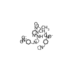 CC(C)C1=COCN1c1ccnc(NC2CCN(Cc3ccc([N+](=O)[O-])cc3)C2)n1.O=[N+]([O-])c1ccc(CN2CCCC2)cc1